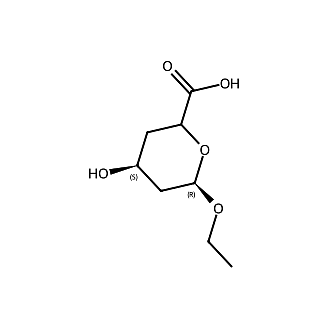 CCO[C@H]1C[C@@H](O)CC(C(=O)O)O1